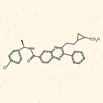 C[C@@H](NC(=O)c1ccc2nc(-c3ccccc3)c(CCC3CC3C(=O)O)nc2c1)c1ccc(Cl)cc1